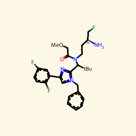 COCC(=O)N(CC[C@H](N)CF)C(c1nc(-c2cc(F)ccc2F)cn1Cc1ccccc1)C(C)(C)C